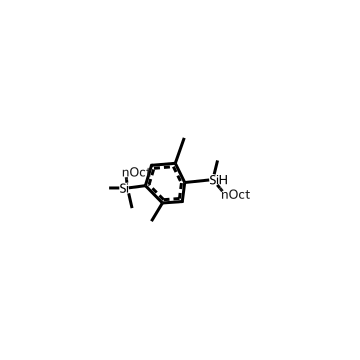 CCCCCCCC[SiH](C)c1cc(C)c([Si](C)(C)CCCCCCCC)cc1C